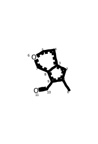 Cc1cc2ccocc-2c1C=O